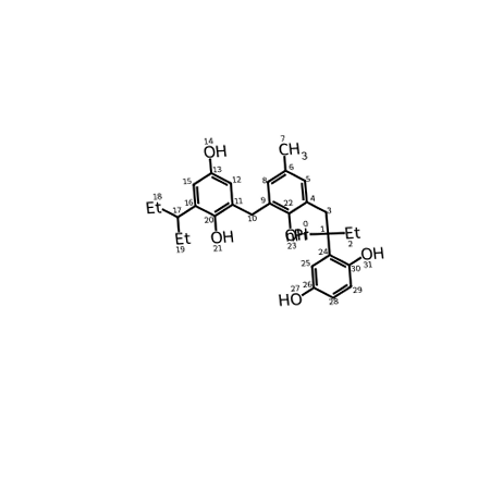 CCCC(CC)(Cc1cc(C)cc(Cc2cc(O)cc(C(CC)CC)c2O)c1O)c1cc(O)ccc1O